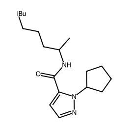 CCC(C)CCCC(C)NC(=O)c1ccnn1C1CCCC1